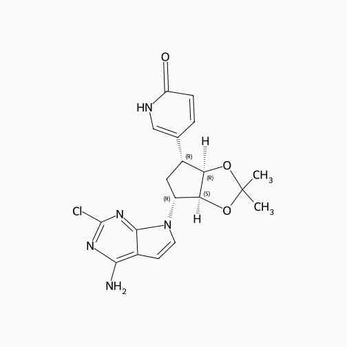 CC1(C)O[C@@H]2[C@H](O1)[C@@H](c1ccc(=O)[nH]c1)C[C@H]2n1ccc2c(N)nc(Cl)nc21